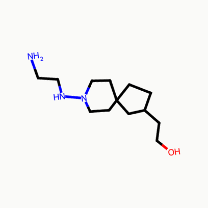 NCCNN1CCC2(CCC(CCO)C2)CC1